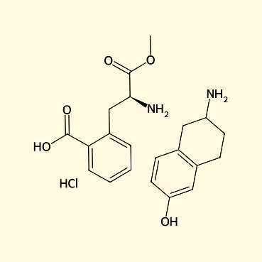 COC(=O)[C@@H](N)Cc1ccccc1C(=O)O.Cl.NC1CCc2cc(O)ccc2C1